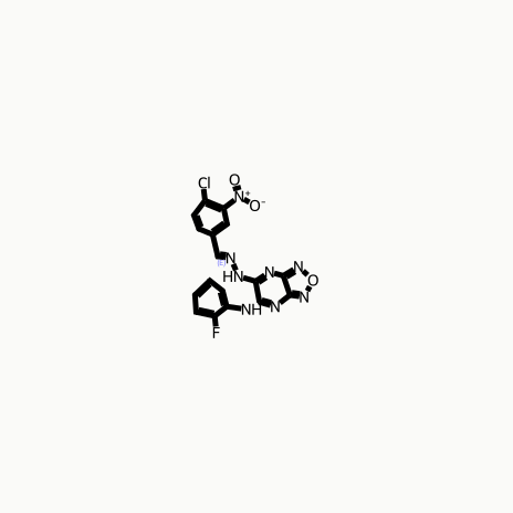 O=[N+]([O-])c1cc(/C=N/Nc2nc3nonc3nc2Nc2ccccc2F)ccc1Cl